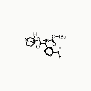 CC(C)(C)OC(=O)NC(C(=O)O[C@H]1CN2CCC1CC2)c1cccc(C(F)F)c1